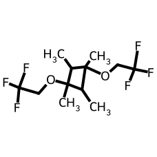 CC1C(C)(OCC(F)(F)F)C(C)C1(C)OCC(F)(F)F